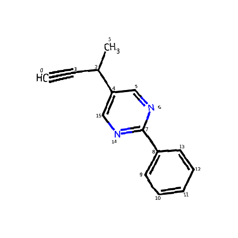 C#CC(C)c1cnc(-c2ccccc2)nc1